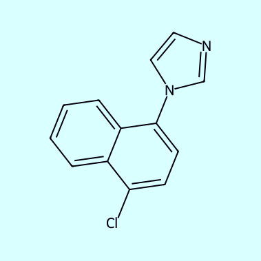 Clc1ccc(-n2ccnc2)c2ccccc12